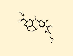 COCCNC(=O)c1ccc(C(C)c2cc(C(=O)OC)nc3c2OCC3)cc1F